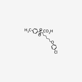 Cc1ccc(S(=O)(=O)C(CCCCCOc2ccc(Cl)cc2)C(=O)O)cc1